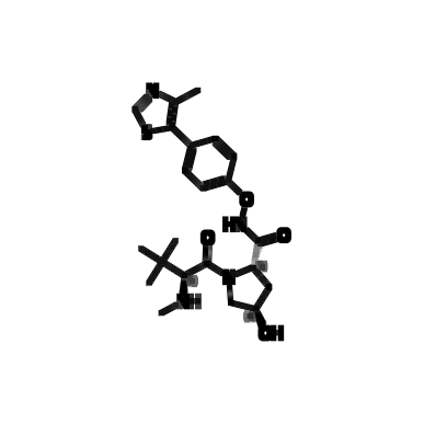 CN[C@H](C(=O)N1C[C@H](O)C[C@H]1C(=O)NOc1ccc(-c2scnc2C)cc1)C(C)(C)C